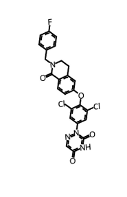 O=C1c2ccc(Oc3c(Cl)cc(-n4ncc(=O)[nH]c4=O)cc3Cl)cc2CCN1Cc1ccc(F)cc1